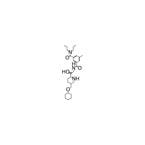 CCCN(CCC)C(=O)c1cc(C)cc(C(=O)NC[C@H](O)C2CCC(COC3CCCCC3)CN2)c1